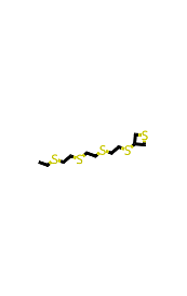 CCSCCSCCSCCSC1CSC1